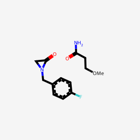 COCCC(N)=O.O=C1CN1Cc1ccc(F)cc1